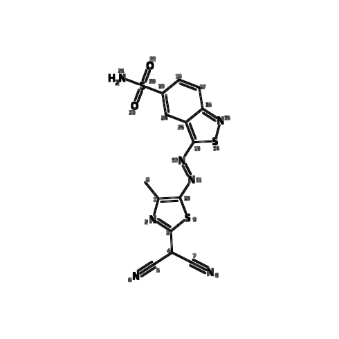 Cc1nc(C(C#N)C#N)sc1/N=N/c1snc2ccc(S(N)(=O)=O)cc12